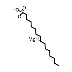 CCCCCCCCCCCCCCCS(=O)(=O)O.[MgH2]